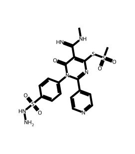 CNC(=N)c1c(SS(C)(=O)=O)nc(-c2ccncc2)n(-c2ccc(S(=O)(=O)NN)cc2)c1=O